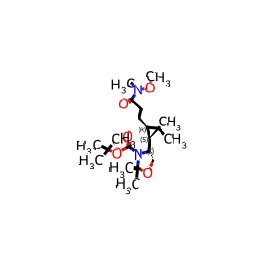 CON(C)C(=O)CC[C@@H]1[C@H]([C@@H]2COC(C)(C)N2C(=O)OC(C)(C)C)C1(C)C